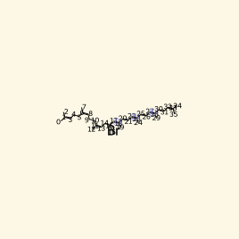 CC(C)=CCCC(C)=CCCC(C)=CCC(Br)/C=C(\C)CC/C=C(\C)CC/C=C(\C)CCC=C(C)C